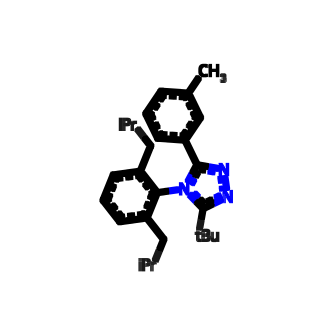 Cc1cccc(-c2nnc(C(C)(C)C)n2-c2c(CC(C)C)cccc2CC(C)C)c1